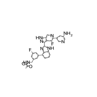 CS(=O)(=O)NCc1cc(F)cc(-c2cccc3[nH]c(-c4n[nH]c5cnc(-c6cncc(N)c6)c(F)c45)nc23)c1